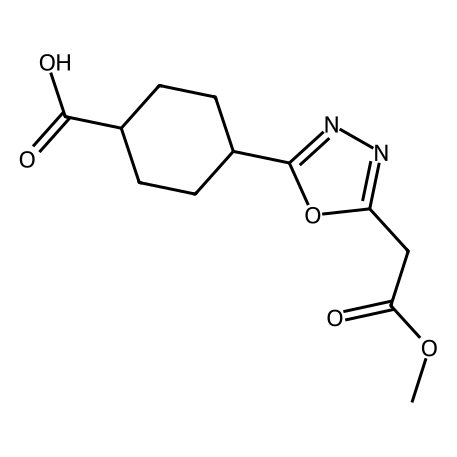 COC(=O)Cc1nnc(C2CCC(C(=O)O)CC2)o1